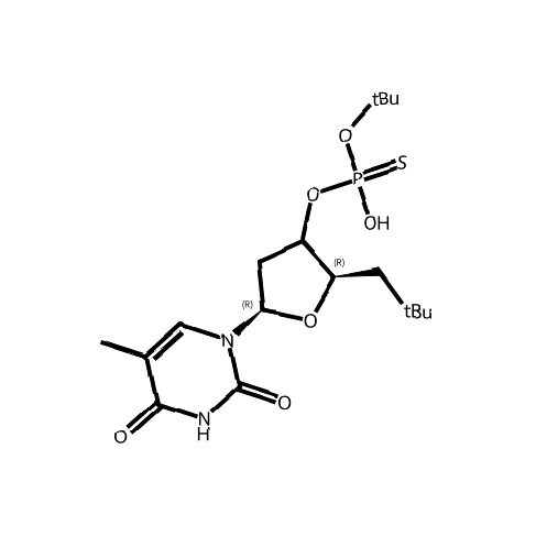 Cc1cn([C@H]2CC(OP(O)(=S)OC(C)(C)C)[C@@H](CC(C)(C)C)O2)c(=O)[nH]c1=O